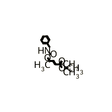 CC(/C=C/C(=O)OC(C)(C)C)OC(=O)NCc1ccccc1